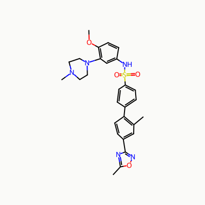 COc1ccc(NS(=O)(=O)c2ccc(-c3ccc(-c4noc(C)n4)cc3C)cc2)cc1N1CCN(C)CC1